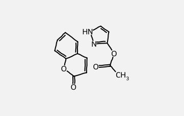 CC(=O)Oc1cc[nH]n1.O=c1ccc2ccccc2o1